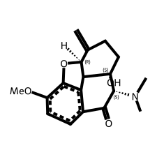 C=C1CC[C@]2(O)C3c4c(ccc(OC)c4O[C@@H]13)C(=O)[C@H]2N(C)C